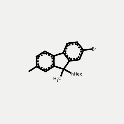 CCCCCCC1(C)c2cc(Br)ccc2-c2ccc(I)cc21